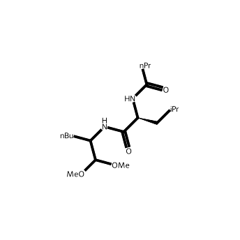 CCCCC(NC(=O)[C@H](CC(C)C)NC(=O)CCC)C(OC)OC